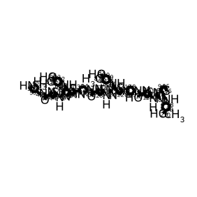 C[C@]1(O)CC[C@H](Nc2nc(Nc3cc(C(O)NC4CCN(c5cc6nc(Nc7cc(C(=O)N[C@@H]8CCC(c9cc%10nc(Nc%11cc(C(=O)NCC%12CCNCC%12)ns%11)nc(N[C@H]%11CC[C@](C)(O)CC%11)c%10s9)NC8)ns7)nc(N[C@H]7CC[C@](C)(O)CC7)c6s5)CC4)ns3)nc3ccsc23)CC1